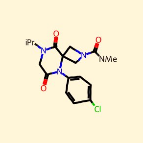 CNC(=O)N1CC2(C1)C(=O)N(C(C)C)CC(=O)N2c1ccc(Cl)cc1